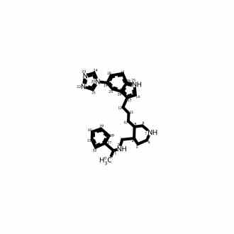 CC(NCC1CCNCC1CCCc1c[nH]c2ccc(-n3cnnc3)cc12)c1ccccc1